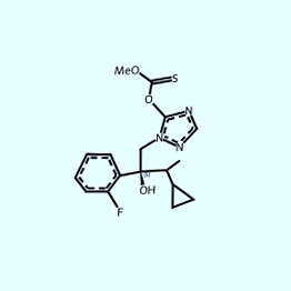 COC(=S)Oc1ncnn1C[C@@](O)(c1ccccc1F)C(C)C1CC1